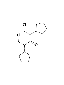 O=C(C(CCl)C1CCCC1)C(CCl)C1CCCC1